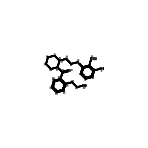 O=Cc1c(O)cccc1OCC[C@@H]1CCCCN1C(=O)c1nccnc1CCO